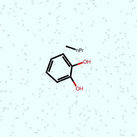 CCCC.Oc1ccccc1O